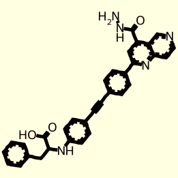 NNC(=O)c1cc(-c2ccc(C#Cc3ccc(NC(Cc4ccccc4)C(=O)O)cc3)cc2)nc2ccncc12